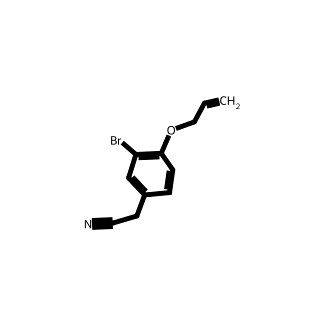 C=CCOc1ccc(CC#N)cc1Br